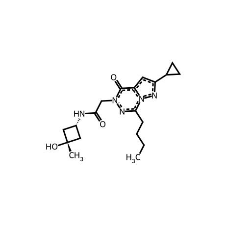 CCCCc1nn(CC(=O)N[C@H]2C[C@@](C)(O)C2)c(=O)c2cc(C3CC3)nn12